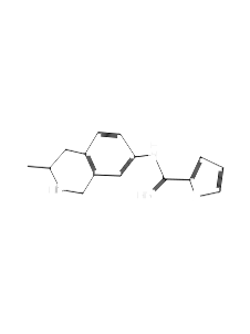 CC1Cc2ccc(NC(=N)c3cccs3)cc2CN1